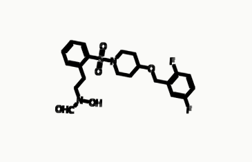 O=CN(O)CCc1ccccc1S(=O)(=O)N1CCC(OCc2cc(F)ccc2F)CC1